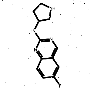 Fc1ccc2nc(NC3CCNC3)ncc2c1